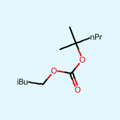 CCCC(C)(C)OC(=O)OCC(C)CC